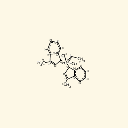 C[CH]=[Hf]([Cl])([Cl])([CH]1C=C(C)c2ccccc21)[CH]1C=C(C)c2ccccc21